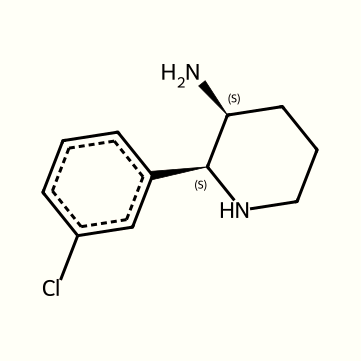 N[C@H]1CCCN[C@H]1c1cccc(Cl)c1